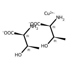 C[C@@H](O)[C@H](N)C(=O)[O-].C[C@@H](O)[C@H](N)C(=O)[O-].[Cu+2]